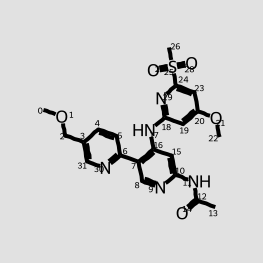 COCc1ccc(-c2cnc(NC(C)=O)cc2Nc2cc(OC)cc(S(C)(=O)=O)n2)nc1